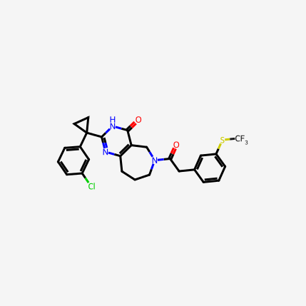 O=C(Cc1cccc(SC(F)(F)F)c1)N1CCCc2nc(C3(c4cccc(Cl)c4)CC3)[nH]c(=O)c2C1